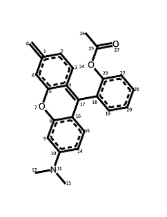 C=c1ccc2c(c1)Oc1cc(N(C)C)ccc1C=2c1ccccc1OC(C)=O